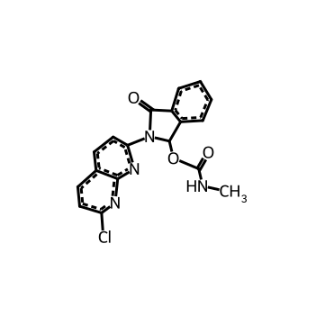 CNC(=O)OC1c2ccccc2C(=O)N1c1ccc2ccc(Cl)nc2n1